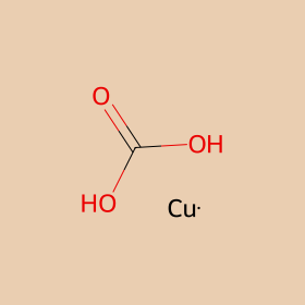 O=C(O)O.[Cu]